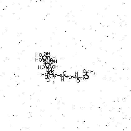 CC(=O)NC1C(O)[C@H](O[C@@H]2OC(CO)[C@H](O)C(O[C@H]3OC(CO)[C@H](O)C(O)[C@H]3O)C2O)C(CO)O[C@H]1OCCCNC(=O)CCOCCNC(=O)COc1cccc(C(C)=O)c1